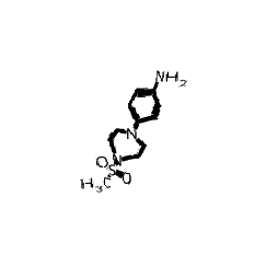 CS(=O)(=O)N1CCN(c2ccc(N)cc2)CC1